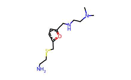 CN(C)CCNCc1ccc(CSCCN)o1